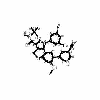 COc1cc2c(cc1-c1cncc(C#N)c1)-c1c(c(C(=O)N(C)C(C)(C)C)nn1-c1cc(F)cc(F)c1)CO2